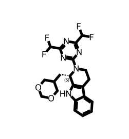 FC(F)c1nc(C(F)F)nc(N2CCc3c([nH]c4ccccc34)[C@@H]2CC2COCOC2)n1